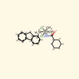 [CH3][Zr]([CH3])([Cl])([Cl])([NH]C(=O)C1CCCCC1)[SiH2]c1cccc2c1Cc1ccccc1-2